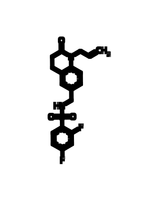 C=CCN1C(=O)CCc2cc(CNS(=O)(=O)c3ccc(F)cc3F)ccc21